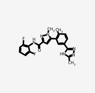 Cc1nnc(-c2ccc(C)c(-c3cc(C(=O)Nc4c(F)cccc4F)nn3C)c2)[nH]1